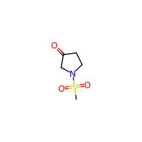 CS(=O)(=O)N1CCC(=O)C1